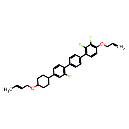 C=CCOc1ccc(-c2ccc(-c3ccc(C4CCC(OC/C=C/C)CC4)cc3F)cc2)c(F)c1F